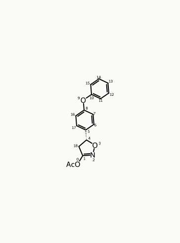 CC(=O)OC1=NO[C@@H](c2ccc(Oc3ccccc3)cc2)C1